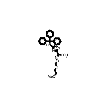 COCCOCON=C(C(=O)O)c1nsc(NC(c2ccccc2)(c2ccccc2)c2ccccc2)n1